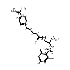 Cc1cc(C)c(S(=O)(=O)N[C@@H](CNC(=O)CCCCc2ccc(C(=N)N)cc2)C(=O)O)c(C)c1